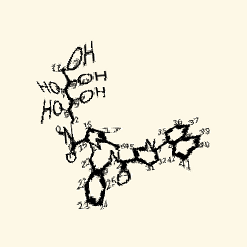 CN(C[C@H](O)[C@@H](O)[C@H](O)[C@H](O)CO)C(=O)c1ccc2n1Cc1ccccc1N(C(=O)c1ccc(-c3cccc4ccccc34)nc1)C2